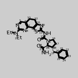 CCN(CC)c1ncc2c(n1)-c1sc(NC(=O)N3CC[C@H](Cc4ccccc4)[C@H]3C(N)=O)nc1CC2